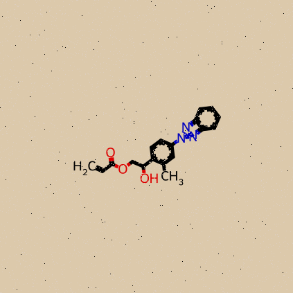 C=CC(=O)OCC(O)c1ccc(-n2n3c4ccccc4n23)cc1C